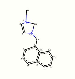 CN1C=CN(Cc2cccc3ccccc23)C1